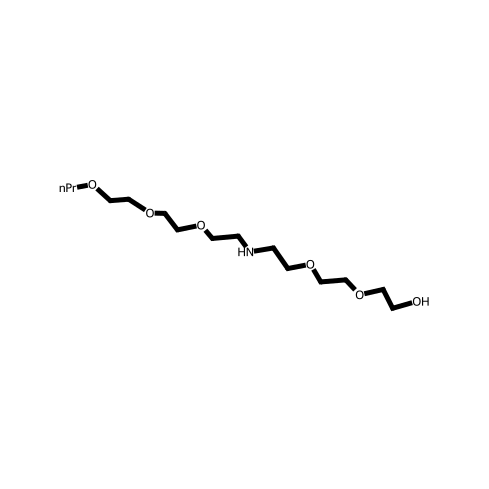 CCCOCCOCCOCCNCCOCCOCCO